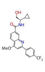 COc1cc(-c2ccc(C(F)(F)F)cc2)nc2cc(C(=O)N[C@@H](CO)C3CC3)ccc12